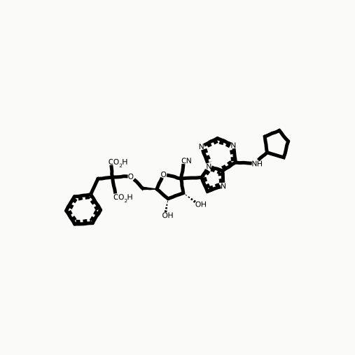 N#CC1(c2cnc3c(NC4CCCC4)ncnn23)O[C@H](COC(Cc2ccccc2)(C(=O)O)C(=O)O)[C@@H](O)[C@H]1O